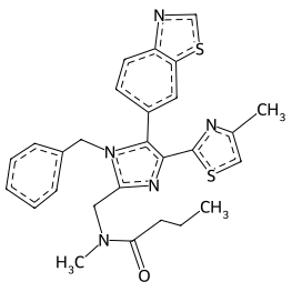 CCCC(=O)N(C)Cc1nc(-c2nc(C)cs2)c(-c2ccc3ncsc3c2)n1Cc1ccccc1